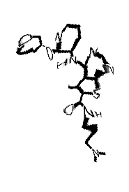 Cc1c(C(=O)NCCCN(C)C)sc2ncnc(Nc3cccnc3O[C@@H]3CCOC3)c12